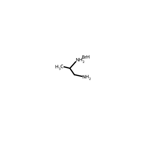 Br.CC(N)CN